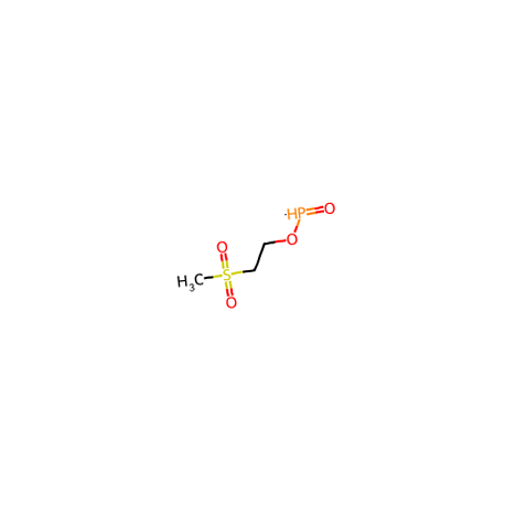 CS(=O)(=O)CCO[PH]=O